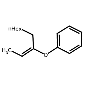 CC=C(CCCCCCC)Oc1ccccc1